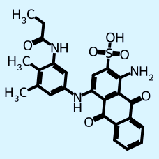 CCC(=O)Nc1cc(Nc2cc(S(=O)(=O)O)c(N)c3c2C(=O)c2ccccc2C3=O)cc(C)c1C